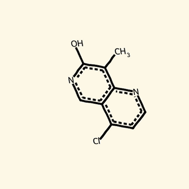 Cc1c(O)ncc2c(Cl)ccnc12